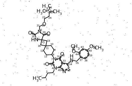 CCCCn1c(=O)n(C2CCC3(CC2)CC2(C3)NC(=O)N(COCC[Si](C)(C)C)C2=O)c(=O)c2c(NCc3ccc(OC)cc3OC)snc21